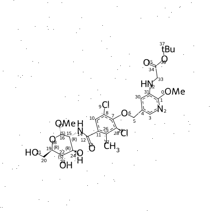 COc1ncc(COc2c(Cl)cc(C(=O)N[C@H]3[C@@H](OC)O[C@H](CO)[C@@H](O)[C@@H]3O)c(C)c2Cl)cc1NCC(=O)OC(C)(C)C